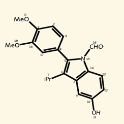 COc1ccc(-c2c(C(C)C)c3cc(O)ccc3n2[C]=O)cc1OC